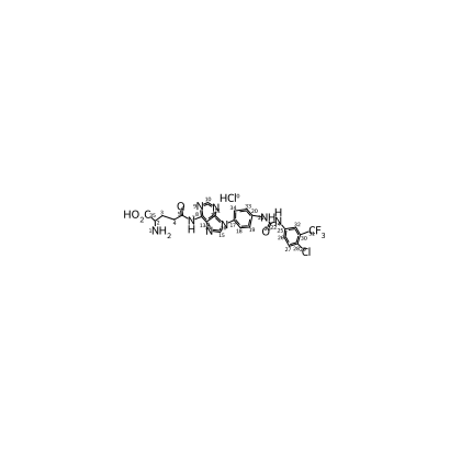 Cl.NC(CCC(=O)Nc1ncnc2c1ncn2-c1ccc(NC(=O)Nc2ccc(Cl)c(C(F)(F)F)c2)cc1)C(=O)O